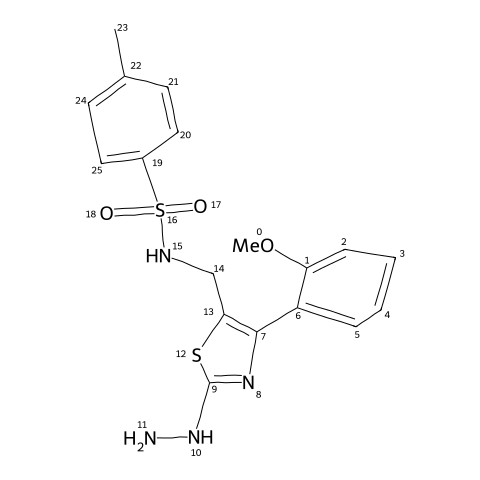 COc1ccccc1-c1nc(NN)sc1CNS(=O)(=O)c1ccc(C)cc1